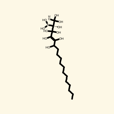 CCCCCCCCCCCCC(O)/C(O)=C(\O)C(O)(O)[C@@](O)(N(O)O)C(O)(O)O